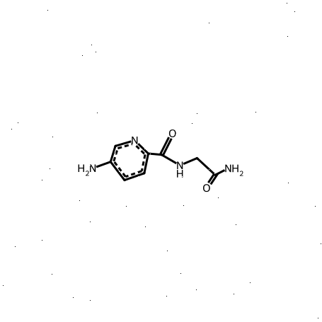 NC(=O)CNC(=O)c1ccc(N)cn1